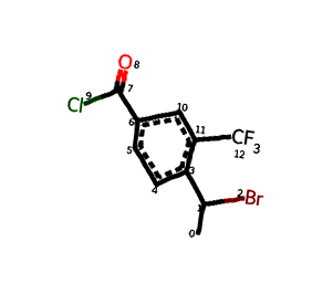 CC(Br)c1ccc(C(=O)Cl)cc1C(F)(F)F